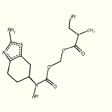 CCCN(C(=O)OCOC(=O)C(C)CC(C)C)C1CCc2nc(N)sc2C1